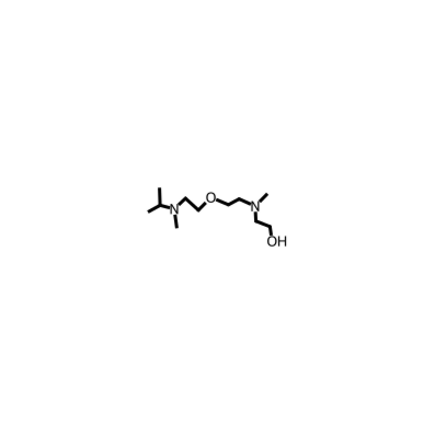 CC(C)N(C)CCOCCN(C)CCO